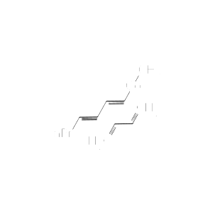 C=CC=C.CCCC=CC=[CH][Co][CH3]